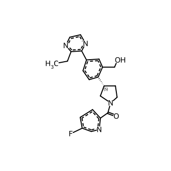 CCc1nccnc1-c1ccc([C@@H]2CCN(C(=O)c3ccc(F)cn3)C2)c(CO)c1